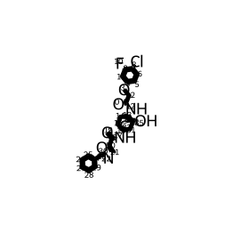 O=C(COc1ccc(Cl)c(F)c1)NC12CCC(NC(=O)c3cnc(-c4ccccc4)o3)(CC1)CC2O